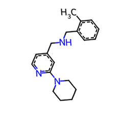 Cc1ccccc1CNCc1ccnc(N2CCCCC2)c1